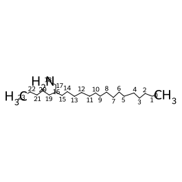 CCCCCCCCCCCCCCCCC(CN)CCCCC